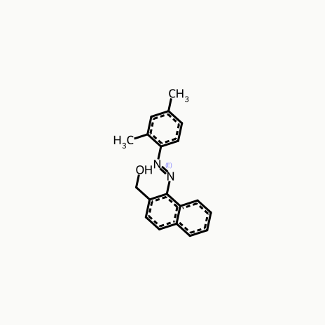 Cc1ccc(/N=N/c2c(CO)ccc3ccccc23)c(C)c1